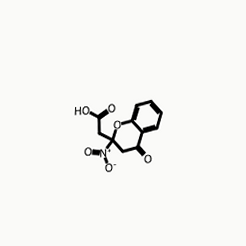 O=C(O)CC1([N+](=O)[O-])CC(=O)c2ccccc2O1